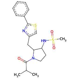 CC(C)C(=O)N1CCC(NS(C)(=O)=O)C1Cc1csc(-c2ccccc2)n1